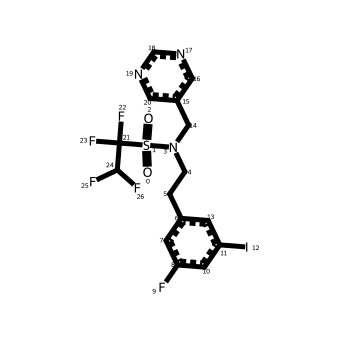 O=S(=O)(N(CCc1cc(F)cc(I)c1)Cc1cncnc1)C(F)(F)C(F)F